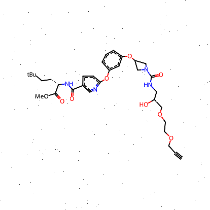 C#CCOCCOCC(O)CNC(=O)N1CC(Oc2cccc(Oc3ccc(C(=O)N[C@@H](CCC(C)(C)C)C(=O)OC)cn3)c2)C1